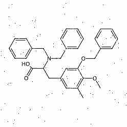 COc1c(C)cc(CC(C(=O)O)N(Cc2ccccc2)Cc2ccccc2)cc1OCc1ccccc1